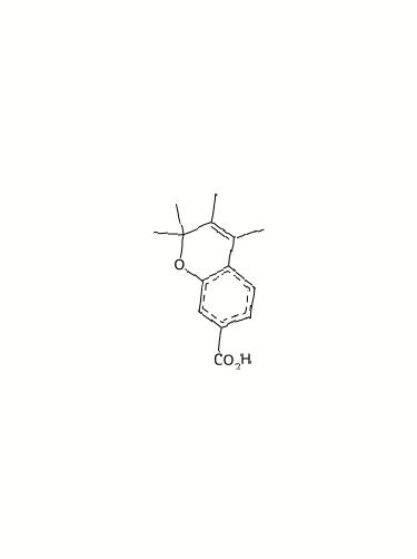 CC1=C(C)C(C)(C)Oc2cc(C(=O)O)ccc21